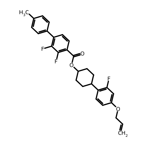 C=CCOc1ccc(C2CCC(OC(=O)c3ccc(-c4ccc(C)cc4)c(F)c3F)CC2)c(F)c1